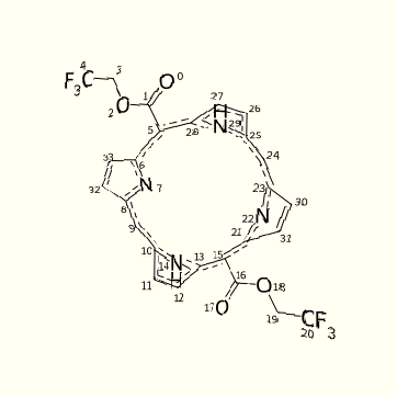 O=C(OCC(F)(F)F)c1c2nc(cc3ccc([nH]3)c(C(=O)OCC(F)(F)F)c3nc(cc4ccc1[nH]4)C=C3)C=C2